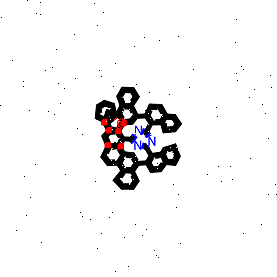 c1ccc2c(-c3nc(-c4c(-c5cc6ccccc6c6ccccc56)ccc5ccccc45)nc(-c4cccc5c4oc4ccccc45)n3)c(-c3cc4ccccc4c4ccccc34)ccc2c1